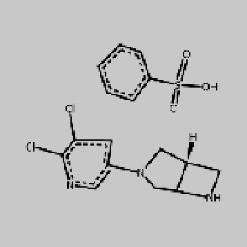 Clc1cc(N2CC3NC[C@H]3C2)cnc1Cl.O=S(=O)(O)c1ccccc1